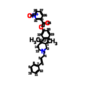 CC1CN(CC=Cc2ccccc2)CCC1(C)c1cccc(OC(=O)c2ccc[n+]([O-])c2)c1